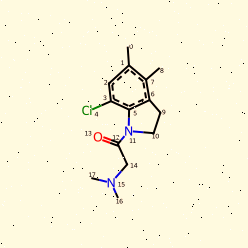 Cc1cc(Cl)c2c(c1C)CCN2C(=O)CN(C)C